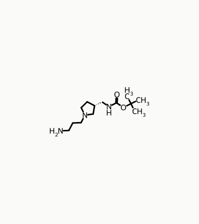 CC(C)(C)OC(=O)NC[C@H]1CCN(CCCN)C1